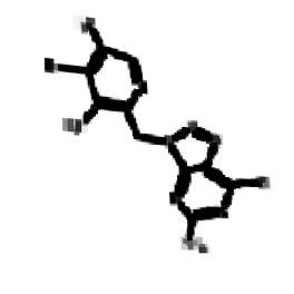 Cc1cnc(Cn2nnc3c(Cl)nc(N)nc32)c(C)c1Br